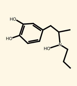 CCCN(O)C(C)Cc1ccc(O)c(O)c1